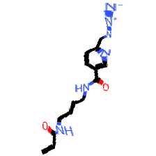 C=CC(=O)NCCCCNC(=O)c1ccc(CN=[N+]=[N-])nc1